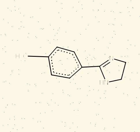 [CH2]c1ccc(C2=NCCN2)cc1